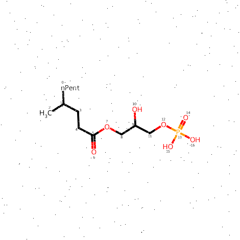 CCCCCC(C)CCC(=O)OCC(O)COP(=O)(O)O